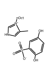 CCCCCCCC[n+]1c[nH]cc1C.O=S(=O)([O-])c1cc(O)ccc1O